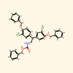 O=C(NCC(c1ccc(OCc2ccccc2)c(Cl)c1)c1ccc(OCc2ccccc2)c(Cl)c1)OCc1ccccc1